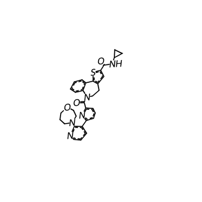 O=C(NC1CC1)c1cc2c(s1)-c1ccccc1N(C(=O)c1cccc(-c3cccnc3N3CCCOCC3)n1)CC2